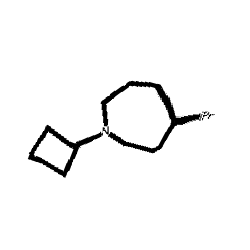 CC(C)C1CCCN(C2CCC2)CC1